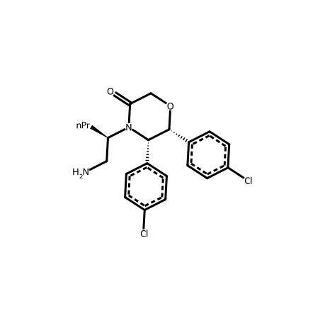 CCC[C@H](CN)N1C(=O)CO[C@H](c2ccc(Cl)cc2)[C@@H]1c1ccc(Cl)cc1